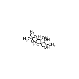 C=C[C@@H](O)[C@]1(CO)O[C@@H]2OC(C)(C)O[C@@H]2[C@@H]1O